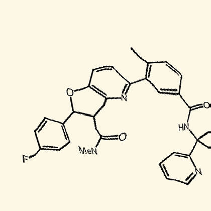 CNC(=O)C1c2nc(-c3cc(C(=O)NC4(c5ccccn5)CC4)ccc3C)ccc2OC1c1ccc(F)cc1